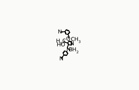 BN(Cc1cnc(C)c(OCc2cccc(C#N)c2)c1C(C)O)c1ccc(C#N)cc1